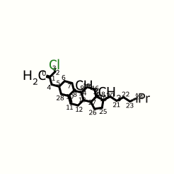 C=C(CCl)CC1CCC2(C)C(=CCC3C2CCC2(C)C(CCCCC(C)C)CCC32)C1